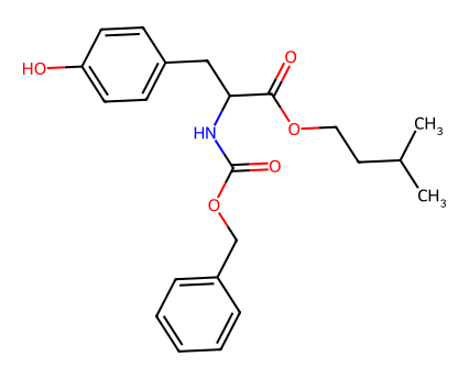 CC(C)CCOC(=O)C(Cc1ccc(O)cc1)NC(=O)OCc1ccccc1